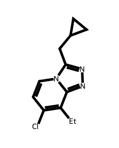 CCc1c(Cl)ccn2c(CC3CC3)nnc12